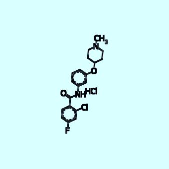 CN1CCC(Oc2cccc(NC(=O)c3ccc(F)cc3Cl)c2)CC1.Cl